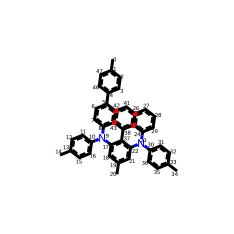 Cc1ccc(-c2ccc(N(c3ccc(C)cc3)c3cc(C)cc(N(c4ccccc4)c4ccc(C)cc4)c3-c3ccccc3)cc2)cc1